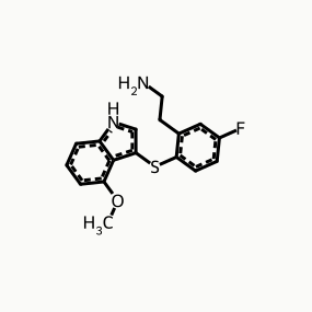 COc1cccc2[nH]cc(Sc3ccc(F)cc3CCN)c12